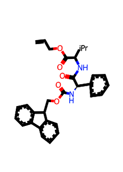 C=CCOC(=O)C(NC(=O)[C@@H](NC(=O)OCC1c2ccccc2-c2ccccc21)c1ccccc1)C(C)C